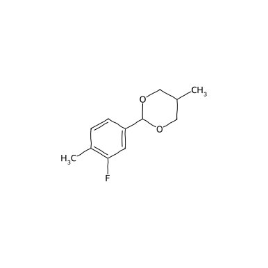 Cc1ccc(C2OCC(C)CO2)cc1F